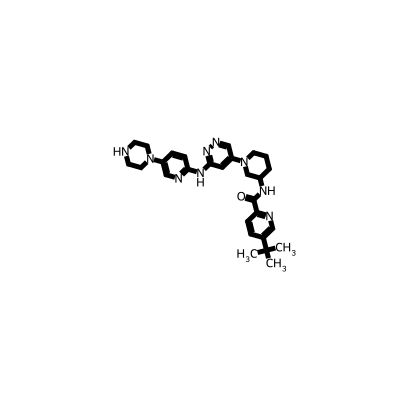 CC(C)(C)c1ccc(C(=O)NC2CCCN(c3cnnc(Nc4ccc(N5CCNCC5)cn4)c3)C2)nc1